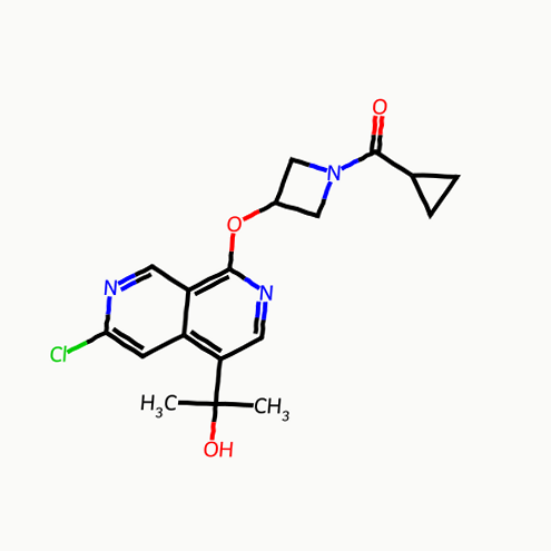 CC(C)(O)c1cnc(OC2CN(C(=O)C3CC3)C2)c2cnc(Cl)cc12